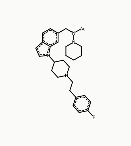 CC(=O)N(Cc1ccc2ccn(C3CCN(CCc4ccc(F)cc4)CC3)c2c1)N1CCCCC1